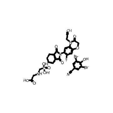 C#CCN1C(=O)COc2cc(F)c(N3C(=O)C4=C(CCCC4)C3=O)cc21.N#Cc1cc(Br)c(O)c(Br)c1.O=C(O)CNCP(=O)(O)O